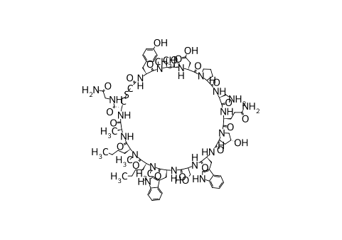 CCCC[C@H]1C(=O)N(C)[C@@H](CCCC)C(=O)N[C@@H](C)C(=O)N[C@H](C(=O)NCC(N)=O)CSCC(=O)N[C@@H](Cc2ccc(O)cc2)C(=O)N(C)[C@@H](C)C(=O)N[C@@H](CC(=O)O)C(=O)N2CCC[C@H]2C(=O)N[C@@H](CN)C(=O)N[C@@H](CCC(N)=O)C(=O)N2C[C@H](O)C[C@H]2C(=O)N[C@@H](Cc2c[nH]c3ccccc23)C(=O)NC(CO)C(=O)N[C@@H](Cc2c[nH]c3ccccc23)C(=O)N1C